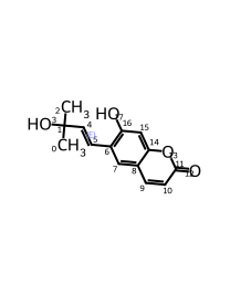 CC(C)(O)/C=C/c1cc2ccc(=O)oc2cc1O